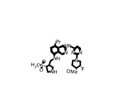 CO[C@@H]1CCN(c2nccc(Nc3cc4c(C(C)C)ccc(NCC5CNC[C@@H]5S(C)(=O)=O)c4cn3)n2)C[C@@H]1F